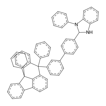 C1=CCC(C23c4ccccc4-c4cccc(c42)C(c2ccccc2)(c2cccc(-c4ccc(C5Nc6ccccc6N5c5ccccc5)cc4)c2)c2ccccc23)CC1